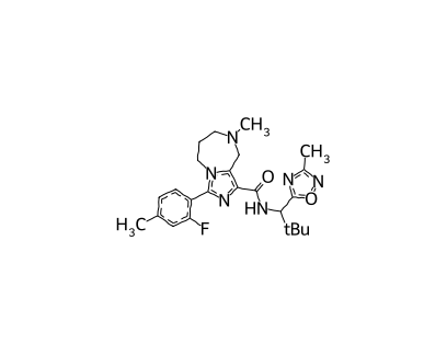 Cc1ccc(-c2nc(C(=O)NC(c3nc(C)no3)C(C)(C)C)c3n2CCCN(C)C3)c(F)c1